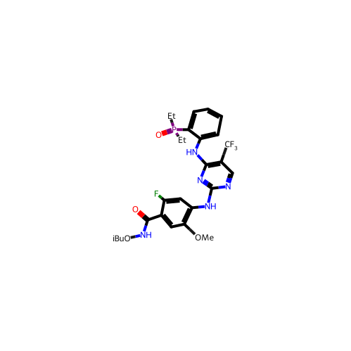 CCP(=O)(CC)c1ccccc1Nc1nc(Nc2cc(F)c(C(=O)NOCC(C)C)cc2OC)ncc1C(F)(F)F